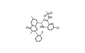 Cc1cc(C(C)Nc2ccc(Cl)nc2C(=O)NS(C)(=O)=O)c2oc(-c3ccccc3F)c(C)c(=O)c2c1